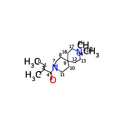 CCC(C)C(=O)N1CCC2(CC1)CC[N+](C)(C)CC2